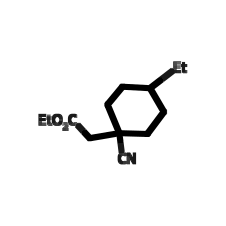 CCOC(=O)CC1(C#N)CCC(CC)CC1